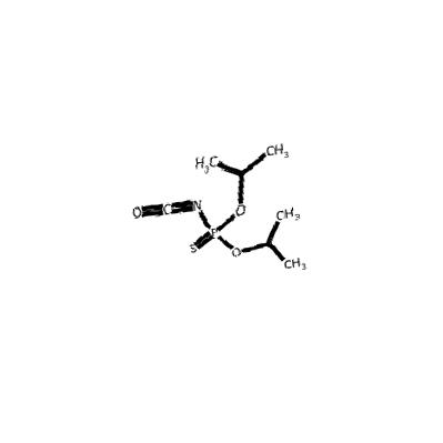 CC(C)OP(=S)(N=C=O)OC(C)C